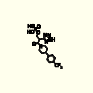 O=C(C(COP(=O)(O)O)c1nn[nH]n1)N1CCC(c2ccc(C(F)(F)F)cc2)CC1